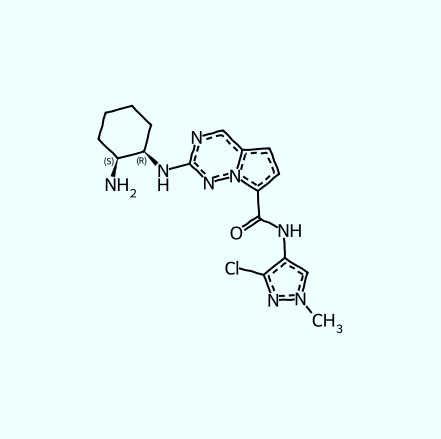 Cn1cc(NC(=O)c2ccc3cnc(N[C@@H]4CCCC[C@@H]4N)nn23)c(Cl)n1